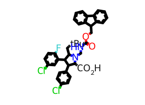 CC(C)(C)CC1C(c2cc(Cl)ccc2F)C(c2ccc(Cl)cc2)C(C(=O)O)N1CNC(=O)OCC1c2ccccc2-c2ccccc21